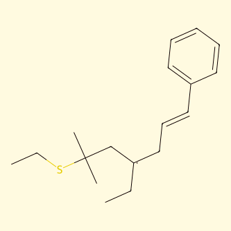 CCSC(C)(C)C[C](CC)CC=Cc1ccccc1